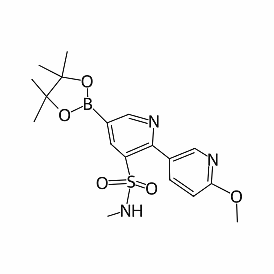 CNS(=O)(=O)c1cc(B2OC(C)(C)C(C)(C)O2)cnc1-c1ccc(OC)nc1